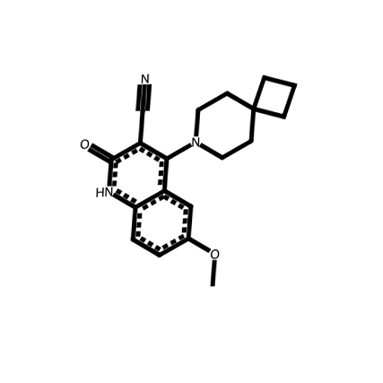 COc1ccc2[nH]c(=O)c(C#N)c(N3CCC4(CCC4)CC3)c2c1